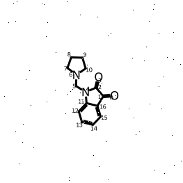 O=C1C(=O)N(CN2CCCC2)c2ccccc21